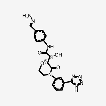 NN=Cc1ccc(NC(=O)[C@H](O)[C@H]2OCCN(c3cccc(-c4nnn[nH]4)c3)C2=O)cc1